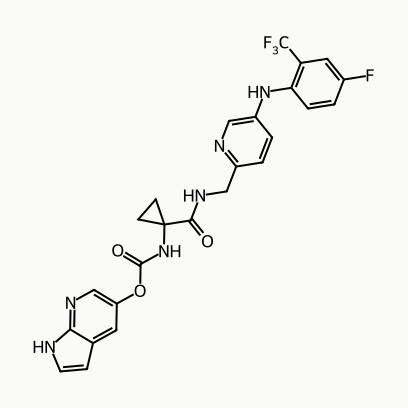 O=C(NC1(C(=O)NCc2ccc(Nc3ccc(F)cc3C(F)(F)F)cn2)CC1)Oc1cnc2[nH]ccc2c1